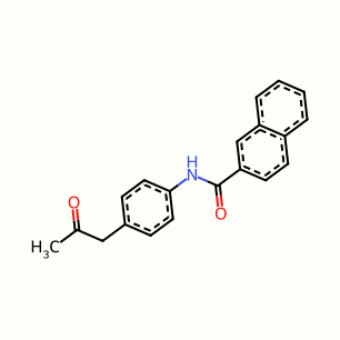 CC(=O)Cc1ccc(NC(=O)c2ccc3ccccc3c2)cc1